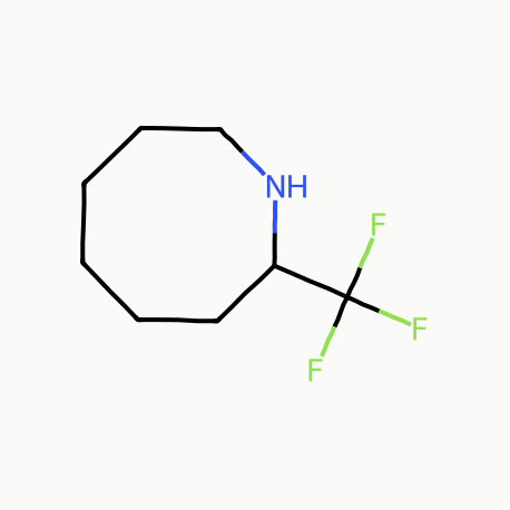 FC(F)(F)C1CCCCCCN1